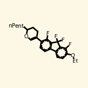 CCCCCC1CCC(c2ccc3c(c2F)C(F)(F)c2c-3ccc(OCC)c2F)=CO1